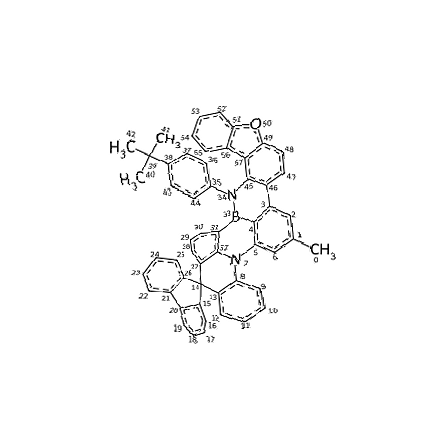 Cc1cc2c3c(c1)N1c4ccccc4C4(c5ccccc5-c5ccccc54)c4cccc(c41)B3N(c1ccc(C(C)(C)C)cc1)c1c-2ccc2oc3ccccc3c12